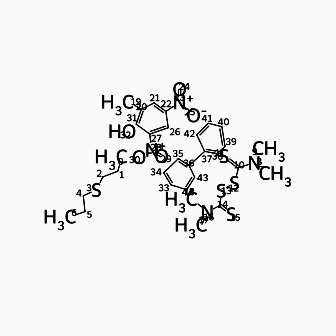 CCCSCCC.CN(C)C(=S)SSC(=S)N(C)C.Cc1cc([N+](=O)[O-])cc([N+](=O)[O-])c1O.c1ccc(-c2ccccc2)cc1